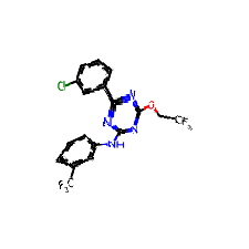 FC(F)(F)COc1nc(Nc2cccc(C(F)(F)F)c2)nc(-c2cccc(Cl)c2)n1